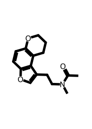 CC(=O)N(C)CCc1coc2ccc3c(c12)CCCO3